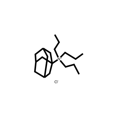 CCC[N+](CCC)(CCC)C12CC3CC(CC(C3)C1)C2.[Cl-]